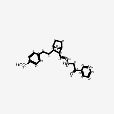 O=C(O)c1ccc(CCC2C3CCC(O3)C2/C=N/NCC(=O)c2cccnc2)cc1